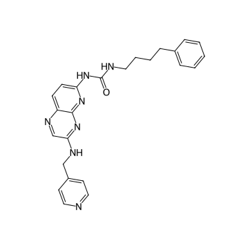 O=C(NCCCCc1ccccc1)Nc1ccc2ncc(NCc3ccncc3)nc2n1